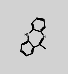 [CH2]C1=Nc2ccccc2Nc2ccccc21